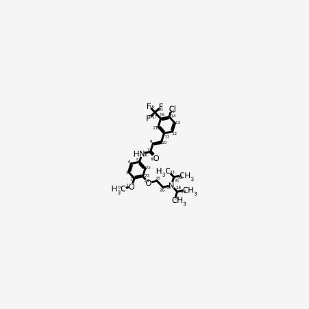 COc1ccc(NC(=O)/C=C/c2ccc(Cl)c(C(F)(F)F)c2)cc1OCCN(C(C)C)C(C)C